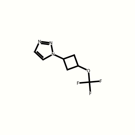 FC(F)(F)OC1CC(n2c[c]nn2)C1